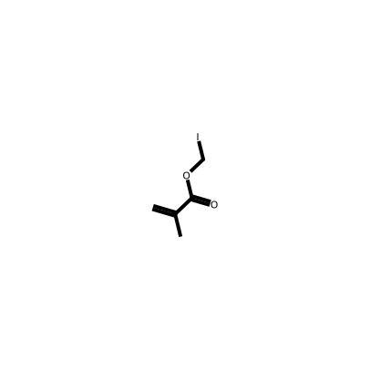 C=C(C)C(=O)OCI